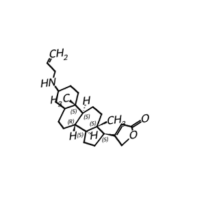 C=CCNC1CC[C@@]2(C)C(CC[C@H]3[C@@H]4CC[C@H](C5=CC(=O)OC5)[C@@]4(C)CC[C@@H]32)C1